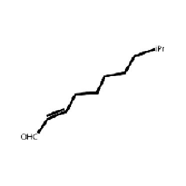 CC(C)CCCCC/C=C/C=O